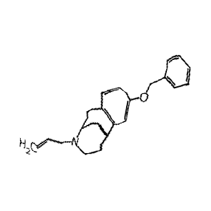 C=CCN1CCC23CCCCC2C1Cc1ccc(OCc2ccccc2)cc13